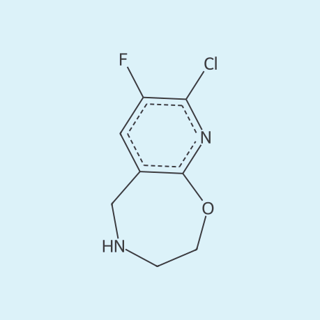 Fc1cc2c(nc1Cl)OCCNC2